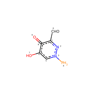 O=Cc1nn(P)cc(O)c1=O